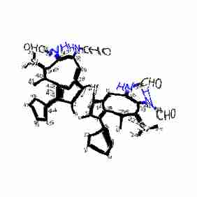 CC1=[C]([Hf][C]2=C(C)C(C3=CC=CC3)=C3C2=CC(NC=O)=C(NC=O)C(=[Si](C)C)C3C)C2=CC(NC=O)=C(NC=O)C(=[Si](C)C)C(C)C2=C1C1=CC=CC1